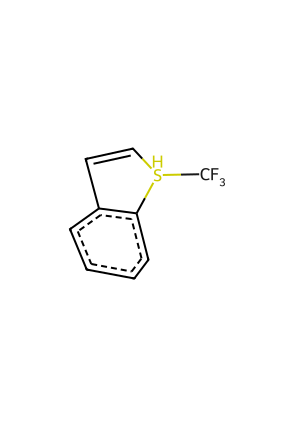 FC(F)(F)[SH]1C=Cc2ccccc21